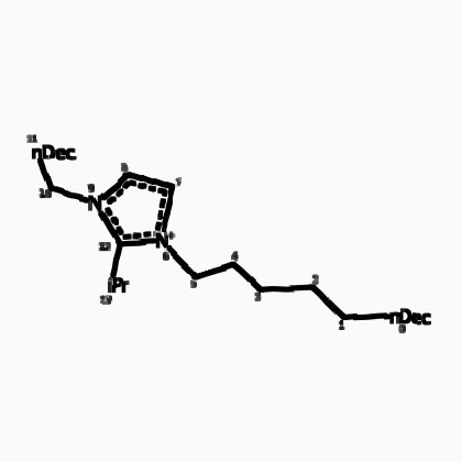 CCCCCCCCCCCCCCC[n+]1ccn(CCCCCCCCCCC)c1C(C)C